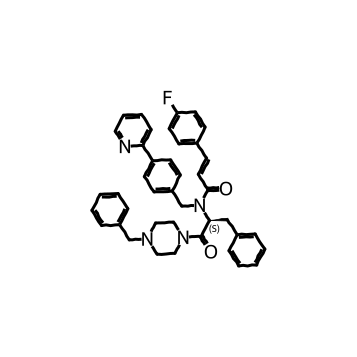 O=C([C@H](Cc1ccccc1)N(Cc1ccc(-c2ccccn2)cc1)C(=O)C=Cc1ccc(F)cc1)N1CCN(Cc2ccccc2)CC1